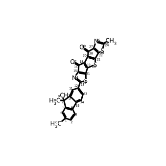 Cc1ccc2c(c1)C(C)(C)c1cc(-c3nc4c(=O)c5c(sc6c7sc(C)nc7c(=O)c65)c4s3)ccc1-2